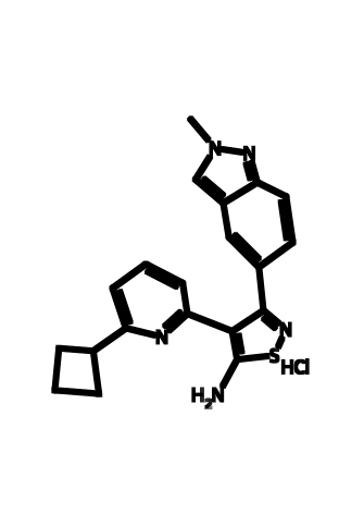 Cl.Cn1cc2cc(-c3nsc(N)c3-c3cccc(C4CCC4)n3)ccc2n1